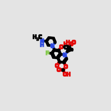 CNC1CCCN(c2c(F)cc3c(=O)c(OC(=O)O)cn(C4CC4)c3c2OC)C1.O.O